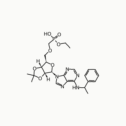 CCOP(=O)(O)COC[C@H]1O[C@@H](n2cnc3c(NC(C)c4ccccc4)ncnc32)[C@@H]2OC(C)(C)O[C@@H]21